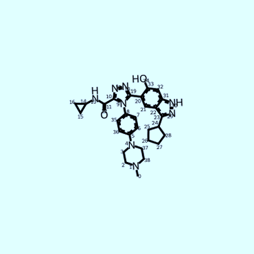 CN1CCN(c2ccc(-n3c(C(=O)NC4CC4)nnc3-c3cc4c(C5CCCC5)n[nH]c4cc3O)cc2)CC1